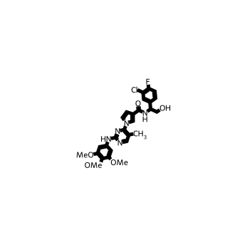 COc1cc(Nc2ncc(C)c(-n3ccc(C(=O)NC(CO)c4ccc(F)c(Cl)c4)c3)n2)cc(OC)c1OC